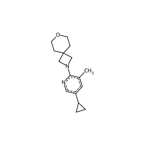 Cc1cc(C2CC2)cnc1N1CC2(CCOCC2)C1